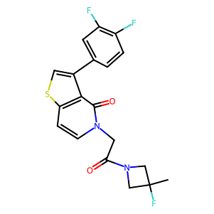 CC1(F)CN(C(=O)Cn2ccc3scc(-c4ccc(F)c(F)c4)c3c2=O)C1